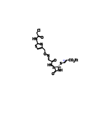 CCOC(=O)/C=C/S[C@@H]1NC(=O)[C@H]1NC(=O)C=NOCc1csc(NC(=O)CCl)n1